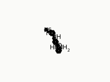 CN(C)c1nc2cc(NCc3ccc(C(=O)Nc4ccccc4N)cc3)ccc2s1